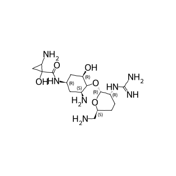 N=C(N)N[C@@H]1CC[C@@H](CN)O[C@@H]1OC1[C@H](O)C[C@H](NC(=O)C2(O)CC2N)C[C@@H]1N